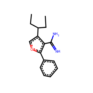 CCC(CC)c1coc(-c2ccccc2)c1C(=N)N